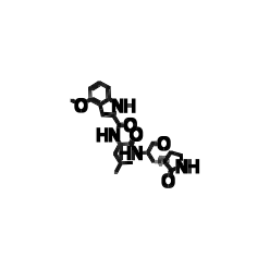 COc1cccc2[nH]c(C(=O)NC(CC(C)C)C(=O)NC(C=O)C[C@@H]3CCNC3=O)cc12